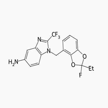 CCC1(F)Oc2cccc(Cn3c(C(F)(F)F)nc4cc(N)ccc43)c2O1